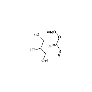 C=CC(=O)OOC.OCC(O)CO